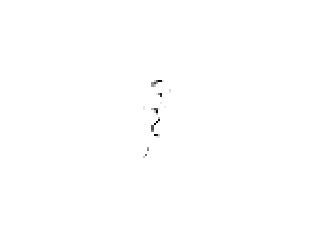 CCOC(=O)/C=C/C(=O)Nc1nccs1